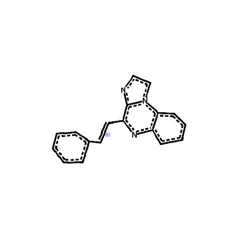 C(=C\c1nc2ccccc2n2ccnc12)/c1ccccc1